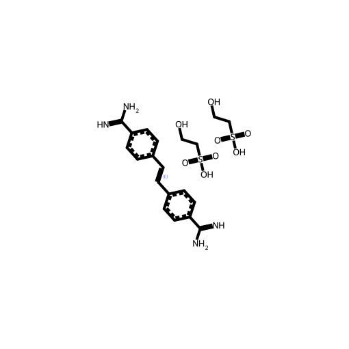 N=C(N)c1ccc(/C=C/c2ccc(C(=N)N)cc2)cc1.O=S(=O)(O)CCO.O=S(=O)(O)CCO